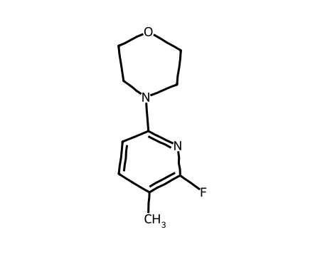 Cc1ccc(N2CCOCC2)nc1F